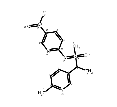 Cc1ccc(C(C)S(C)(=O)=Nc2ccc([N+](=O)[O-])cn2)cn1